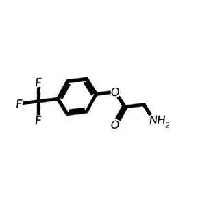 NCC(=O)Oc1ccc(C(F)(F)F)cc1